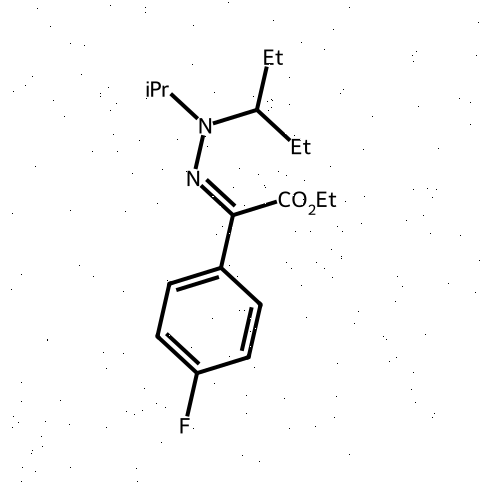 CCOC(=O)C(=NN(C(C)C)C(CC)CC)c1ccc(F)cc1